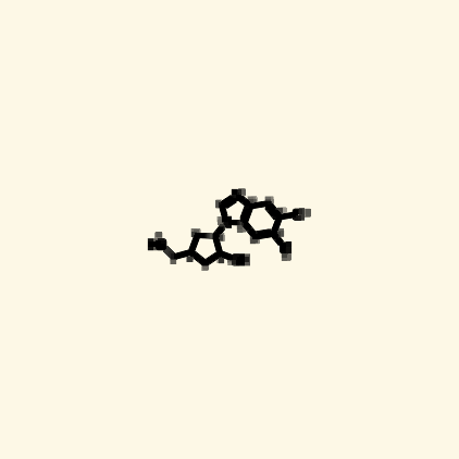 OCC1CC(O)C(n2cnc3cc(Cl)c(Cl)cc32)C1